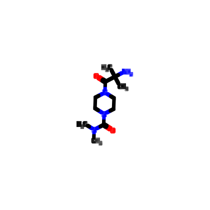 CN(C)C(=O)N1CCN(C(=O)C(C)(C)N)CC1